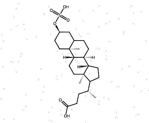 C[C@H](CCC(=O)O)C1CC[C@H]2[C@@H]3CCC4C[C@H](OS(=O)(=O)O)CC[C@]4(C)[C@H]3CC[C@]12C